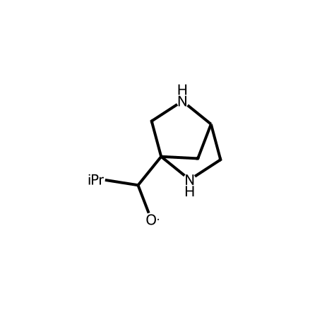 CC(C)C([O])C12CNC(CN1)C2